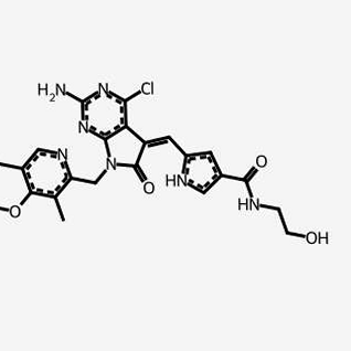 COc1c(C)cnc(CN2C(=O)C(=Cc3cc(C(=O)NCCO)c[nH]3)c3c(Cl)nc(N)nc32)c1C